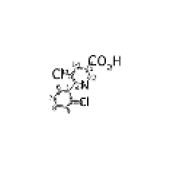 O=C(O)c1cnc(-c2ccccc2Cl)c(Cl)c1